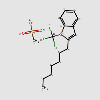 CCCCCCCc1cc2ccccc2[s+]1C(F)(F)F.CS(=O)(=O)[O-]